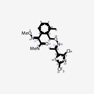 CNC(=O)/C(=N/OC)c1cccc(C)c1CO/N=C(\C)c1sc(C(F)(F)F)nc1Cl